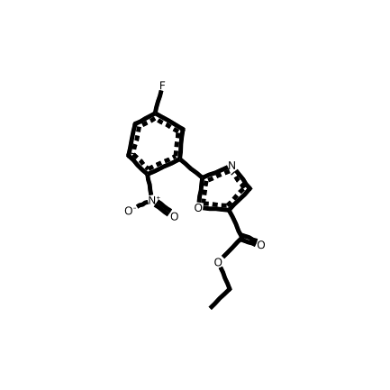 CCOC(=O)c1cnc(-c2cc(F)ccc2[N+](=O)[O-])o1